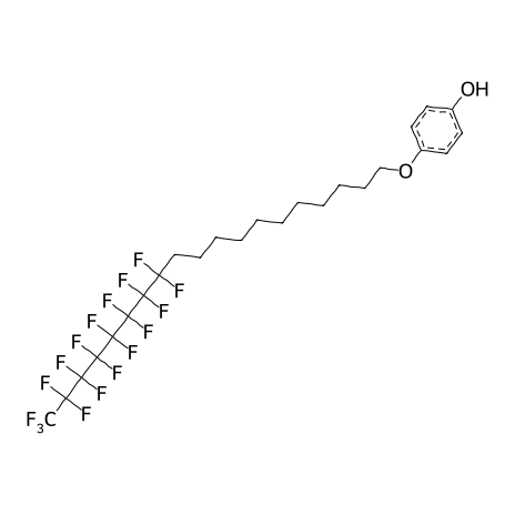 Oc1ccc(OCCCCCCCCCCCC(F)(F)C(F)(F)C(F)(F)C(F)(F)C(F)(F)C(F)(F)C(F)(F)C(F)(F)F)cc1